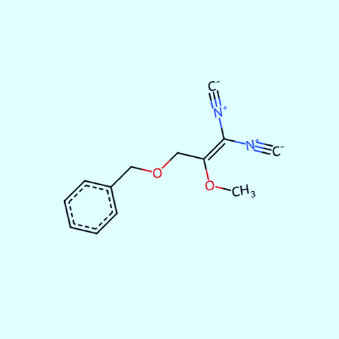 [C-]#[N+]C([N+]#[C-])=C(COCc1ccccc1)OC